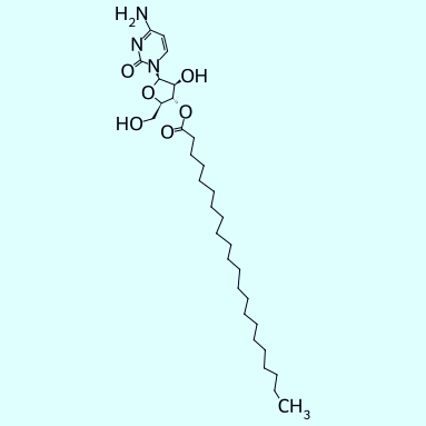 CCCCCCCCCCCCCCCCCCCCCC(=O)O[C@H]1[C@H](O)[C@H](n2ccc(N)nc2=O)O[C@@H]1CO